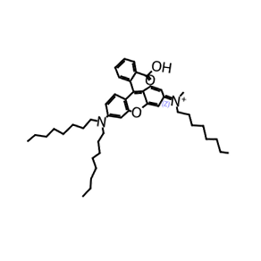 CCCCCCCCN(CCCCCCCC)c1ccc2c(-c3ccccc3C(=O)O)c3cc/c(=[N+](\C)CCCCCCCC)cc-3oc2c1